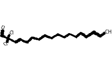 CCCCCCCCCCCCCCCCC(Cl)(Cl)C=O